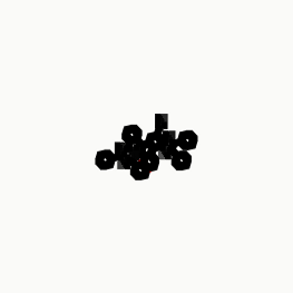 N#Cc1cc2c(-c3ccccc3-c3nc(-c4ccccc4)nc(-c4ccccc4)n3)nc3ccccc3c2c2nc(-c3ccccc3)c(-c3ccccc3)nc12